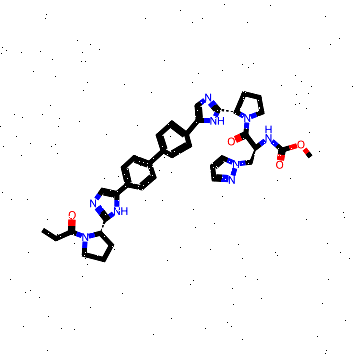 CCC(=O)N1CCC[C@H]1c1ncc(-c2ccc(-c3ccc(-c4cnc([C@@H]5CCCN5C(=O)[C@H](Cn5cccn5)NC(=O)OC)[nH]4)cc3)cc2)[nH]1